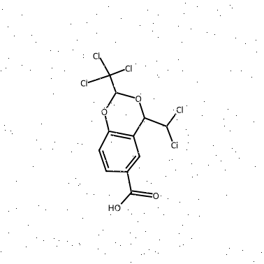 O=C(O)c1ccc2c(c1)C(C(Cl)Cl)OC(C(Cl)(Cl)Cl)O2